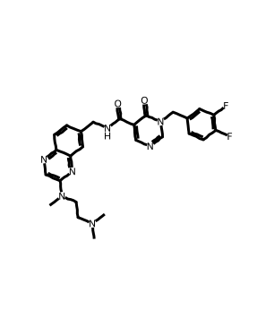 CN(C)CCN(C)c1cnc2ccc(CNC(=O)c3cncn(Cc4ccc(F)c(F)c4)c3=O)cc2n1